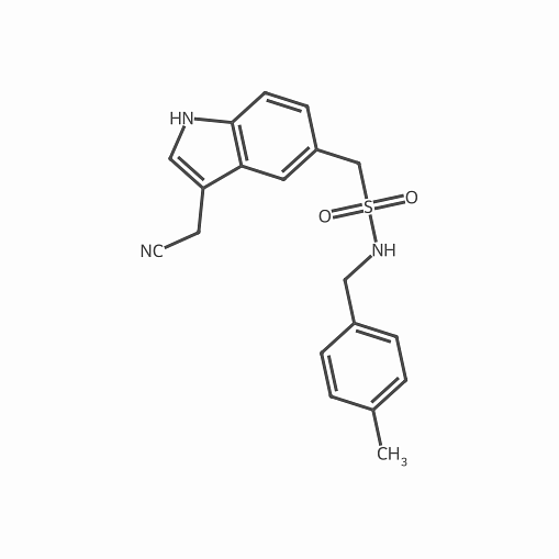 Cc1ccc(CNS(=O)(=O)Cc2ccc3[nH]cc(CC#N)c3c2)cc1